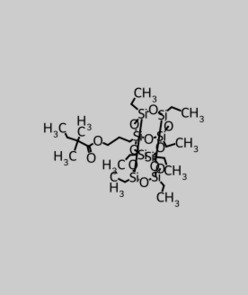 CCC(C)(C)C(=O)OCCC[Si]12O[Si]3(CC)O[Si]4(CC)O[Si]5(CC)O[Si](CC)(O3)[Si](CC)(O1)O[Si](CC)(O5)[Si](CC)(O4)O2